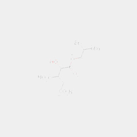 CCCCC(CC)COC(=O)C(O)C(CC(=O)O)C(=O)O